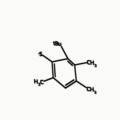 Cc1cc(C)c([S])c(C(C)(C)C)c1C